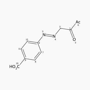 CC(=O)C(=O)CN=Nc1ccc(C(=O)O)cc1